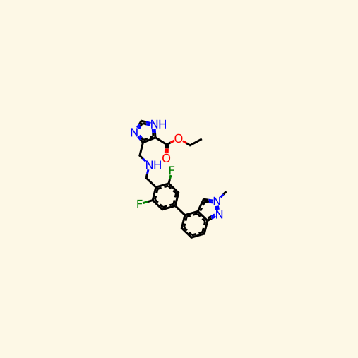 CCOC(=O)c1[nH]cnc1CNCc1c(F)cc(-c2cccc3nn(C)cc23)cc1F